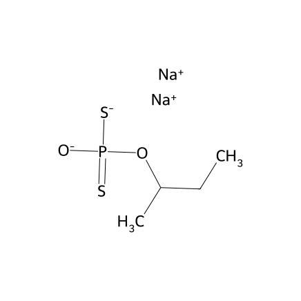 CCC(C)OP([O-])(=S)[S-].[Na+].[Na+]